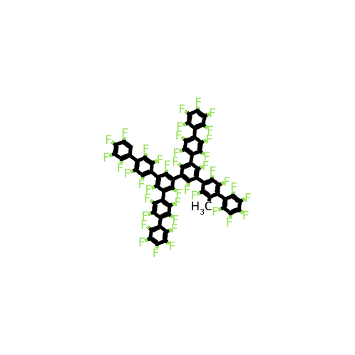 Cc1c(F)c(-c2c(F)c(-c3c(F)c(F)c(-c4c(F)c(F)c(F)c(F)c4F)c(F)c3F)c(F)c(-c3c(F)c(-c4c(F)c(F)c(-c5cc(F)c(F)c(F)c5F)c(F)c4F)c(F)c(-c4c(F)c(F)c(-c5c(F)c(F)c(F)c(F)c5F)c(F)c4F)c3F)c2F)c(F)c(F)c1-c1c(F)c(F)c(F)c(F)c1F